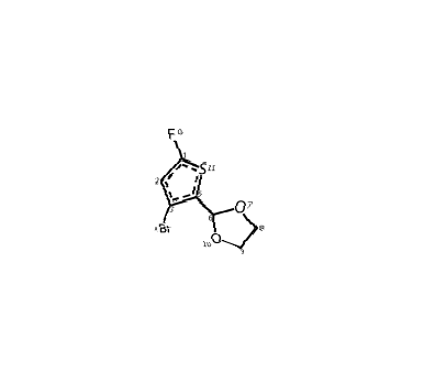 Fc1cc(Br)c(C2OCCO2)s1